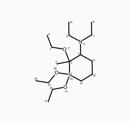 CCOC1(C)C(N(CC)CC)CCC[Si]1(OCC)OCC